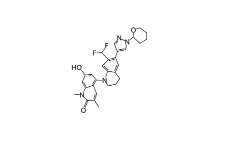 Cc1cc2c(N3CCCc4cc(-c5cnn(C6CCCCO6)c5)c(C(F)F)cc43)cc(O)cc2n(C)c1=O